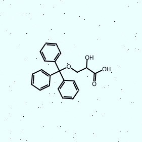 O=C(O)C(O)COC(c1ccccc1)(c1ccccc1)c1ccccc1